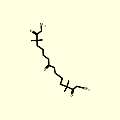 CC(C)(CCCCC(=O)CCCCC(C)(C)C(=O)CN)C(=O)CN